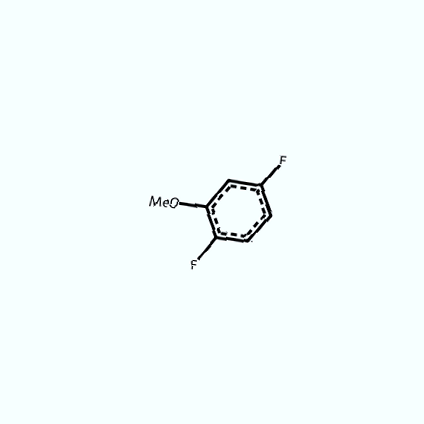 COc1cc(F)c[c]c1F